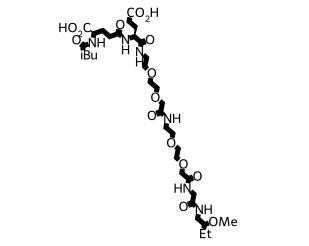 CCC(CNC(=O)CNC(=O)COCCOCCNC(=O)COCCOCCNC(=O)[C@H](CCC(=O)O)NC(=O)CC[C@H](NC(=O)C(C)CC)C(=O)O)OC